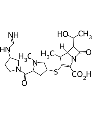 CC(O)C1C(=O)N2C(C(=O)O)=C(SC3CC(C(=O)N4CCC(NC=N)C4)N(C)C3)C(C)[C@@H]12